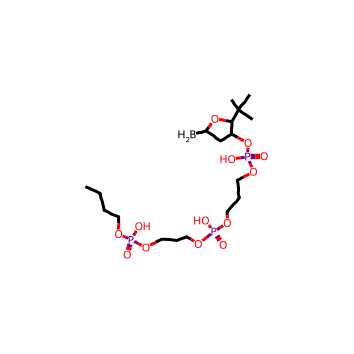 BC1CC(OP(=O)(O)OCCCOP(=O)(O)OCCCOP(=O)(O)OCCCC)C(C(C)(C)C)O1